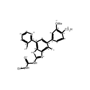 CCNC(=O)Nc1nc2c(F)c(-c3ccc(C(=O)O)c(OC)c3)cc(-c3ncccc3F)c2s1